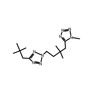 Cn1nnnc1CC(C)(C)CCn1nnc(CC(C)(C)C)n1